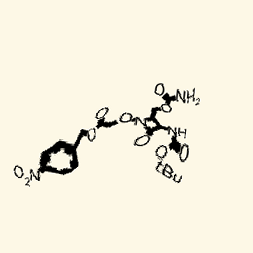 CC(C)(C)OC(=O)NC1C(=O)N(OCC(=O)OCc2ccc([N+](=O)[O-])cc2)C1COC(N)=O